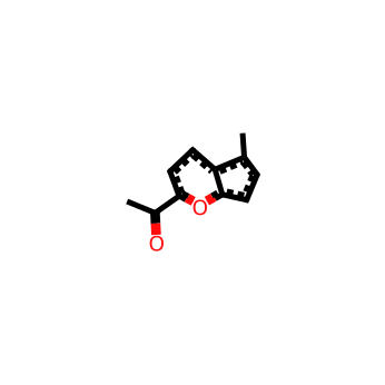 CC(=O)c1ccc2c(C)ccc-2o1